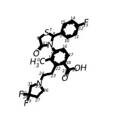 Cc1c(N2C(=O)CSC2c2ccc(F)cc2)ccc(C(=O)O)c1CCN1CCC(F)(F)C1